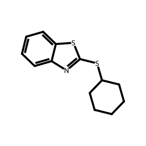 c1ccc2sc(SC3CCCCC3)nc2c1